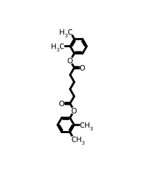 Cc1cccc(OC(=O)CCCCC(=O)Oc2cccc(C)c2C)c1C